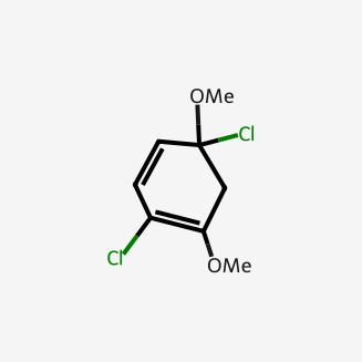 COC1=C(Cl)C=CC(Cl)(OC)C1